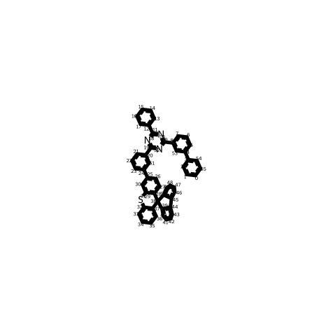 c1ccc(-c2cccc(-c3nc(-c4ccccc4)nc(-c4cccc(-c5ccc6c(c5)Sc5ccccc5C65c6ccccc6-c6ccccc65)c4)n3)c2)cc1